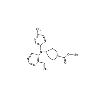 C=Cc1ccncc1N(c1ccc(C(F)(F)F)nc1)C1CCN(C(=O)OC(C)(C)C)CC1